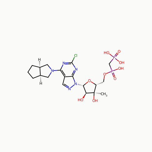 C[C@@]1(O)[C@@H](COP(=O)(O)CP(=O)(O)O)O[C@@H](n2ncc3c(N4C[C@H]5CCC[C@H]5C4)nc(Cl)nc32)[C@@H]1O